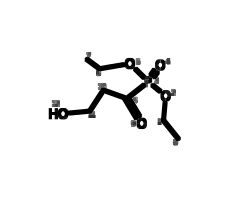 CCOP(=O)(OCC)C(=O)CCO